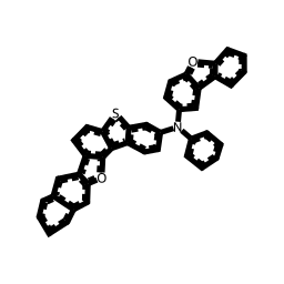 c1ccc(N(c2ccc3c(c2)sc2ccc4c5cc6ccccc6cc5oc4c23)c2ccc3oc4ccccc4c3c2)cc1